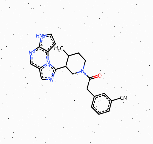 CC1CCN(C(=O)Cc2cccc(C#N)c2)CC1c1ncc2cnc3[nH]ccc3n12